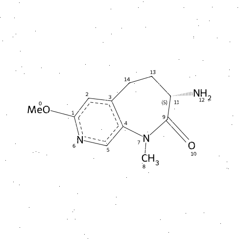 COc1cc2c(cn1)N(C)C(=O)[C@@H](N)CC2